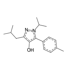 Cc1ccc(-c2c(O)c(CC(C)C)nn2C(C)C)cc1